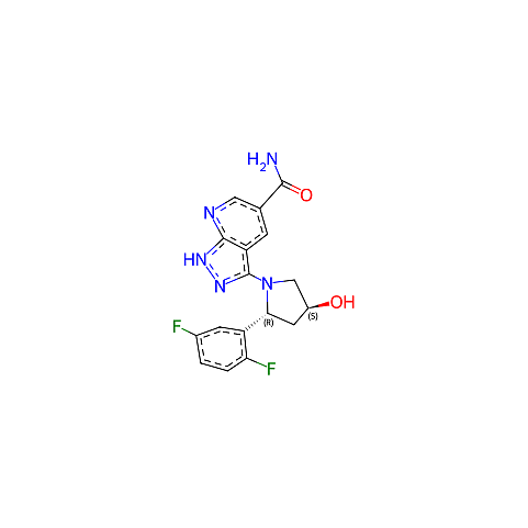 NC(=O)c1cnc2[nH]nc(N3C[C@@H](O)C[C@@H]3c3cc(F)ccc3F)c2c1